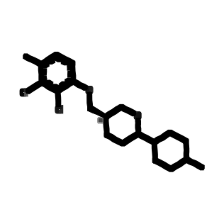 Cc1ccc(OC[C@@H]2CCC(C3CCC(C)CC3)OC2)c(Cl)c1Cl